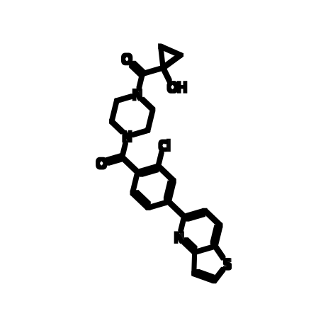 O=C(c1ccc(-c2ccc3sccc3n2)cc1Cl)N1CCN(C(=O)C2(O)CC2)CC1